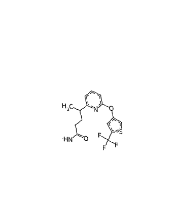 CC(CCC([NH])=O)c1cccc(Oc2csc(C(F)(F)F)c2)n1